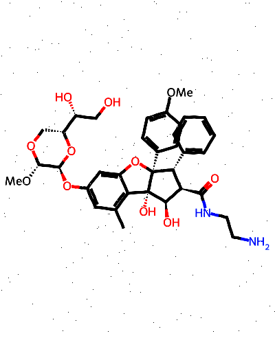 COc1ccc([C@@]23Oc4cc(O[C@@H]5O[C@@H]([C@H](O)CO)CO[C@H]5OC)cc(C)c4[C@]2(O)[C@H](O)[C@H](C(=O)NCCN)[C@H]3c2ccccc2)cc1